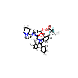 CN(CC1CCCCN1C)C(=O)Cn1c(-c2ccccc2)c(C2CCCCC2)c2ccc(C(=O)O)cc21.O=C(O)C(F)(F)F